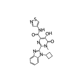 Cn1c(-c2nc3ccccc3n2C2CCC2)nc(C(=O)Nc2cnsc2)c(O)c1=O